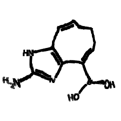 Nc1nc2c([nH]1)C=CCC=C2B(O)O